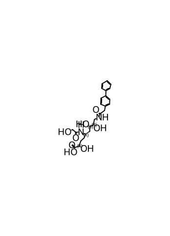 O=C(Cc1ccc(-c2ccccc2)cc1)NC[C@@H](O)[C@@H](O)C[C@@H](CC[C@@H](O)C(=O)O)NC(=O)CO